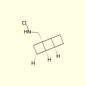 ClNC[C@]12C3C4C5[C@H]3[C@H]1[C@@H]5C42